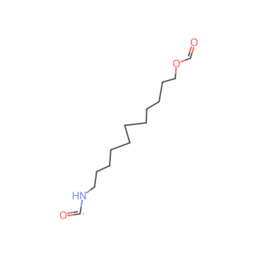 O=[C]NCCCCCCCCCCCOC=O